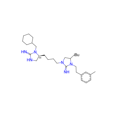 CCC(C)C1CN(CCCC[C@H]2CNC(=N)N2CC2CCCCC2)C(=N)N1CCc1cccc(C)c1